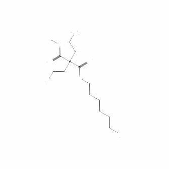 CC(C)(C)CCCCCCOC(=O)C(CCC#N)(CCC#N)C(=O)OC(C)(C)C